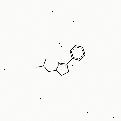 CC(C)CC1CCC(c2ccccc2)=N1